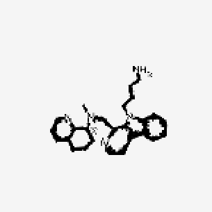 CN(Cc1nccc2c3ccccc3n(CCCCN)c12)[C@H]1CCCc2cccnc21